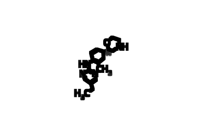 CCc1cnc(NC2=C(C)CC([C@H]3CNCCO3)C=C2)nc1